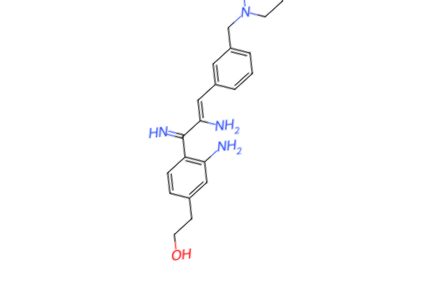 N=C(/C(N)=C/c1cccc(CN2CCOCC2)c1)c1ccc(CCO)cc1N